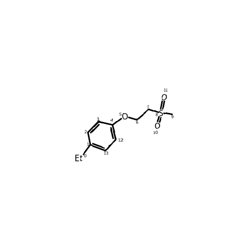 CCc1ccc(OCCS(C)(=O)=O)cc1